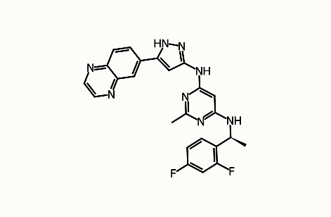 Cc1nc(Nc2cc(-c3ccc4nccnc4c3)[nH]n2)cc(N[C@@H](C)c2ccc(F)cc2F)n1